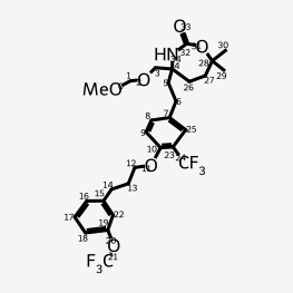 COCOCC1(CCc2ccc(OCCCc3cccc(OC(F)(F)F)c3)c(C(F)(F)F)c2)CCC(C)(C)OC(=O)N1